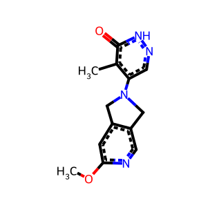 COc1cc2c(cn1)CN(c1cn[nH]c(=O)c1C)C2